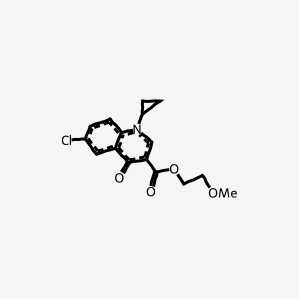 COCCOC(=O)c1cn(C2CC2)c2ccc(Cl)cc2c1=O